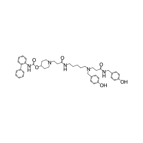 O=C(CCN1CCC(OC(=O)Nc2ccccc2-c2ccccc2)CC1)NCCCCCN(CCC(=O)NCc1ccc(O)cc1)Cc1ccc(O)cc1